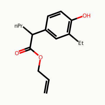 C=CCOC(=O)C(CCC)c1ccc(O)c(CC)c1